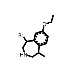 CCOc1ccc2c(c1)C(Br)CNCC2C